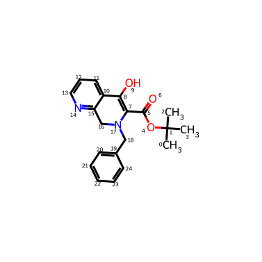 CC(C)(C)OC(=O)C1=C(O)c2cccnc2CN1Cc1ccccc1